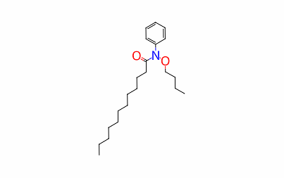 CCCCCCCCCCCC(=O)N(OCCCC)c1ccccc1